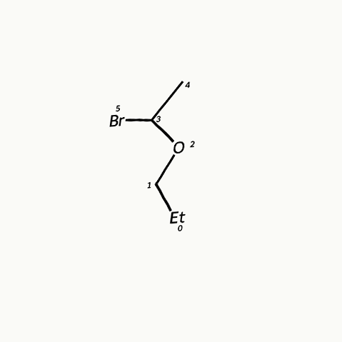 CCCOC(C)Br